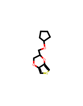 c1scc2c1OCC(COC1CCCC1)O2